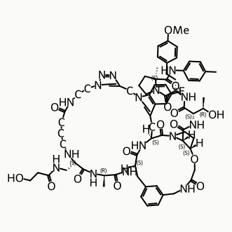 COc1ccc(CC[C@H](NC(=O)[C@@H](NC(=O)[C@@H]2[C@@H]3CCN2C(=O)[C@@H]2Cc4cn(c5ccc(F)cc45)Cc4cn(nn4)CCNC(=O)CCCN[C@@H](CNC(=O)CCO)C(=O)N[C@H](C)C(=O)N[C@@H](Cc4cccc(c4)CNC(=O)CO3)C(=O)N2)[C@@H](C)O)C(=O)N2CCC[C@@]2(C)C(=O)Nc2ccc(C)cc2)cc1